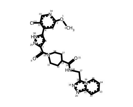 COc1cc(-c2cc(C(=O)N3CCC(C(=O)NCc4nnc5ccccn45)CC3)n[nH]2)c(Cl)cn1